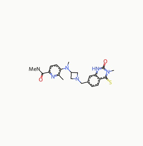 CNC(=O)c1ccc(N(C)C2CN(Cc3ccc4c(=S)n(C)c(=O)[nH]c4c3)C2)c(C)n1